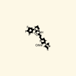 COc1nc(C=CC(=O)NN2C=CCN(c3cc(F)c(F)c(F)c3)C2=O)ccc1-n1cnc(C)c1